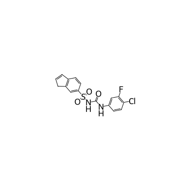 O=C(Nc1ccc(Cl)c(F)c1)NS(=O)(=O)c1ccc2c(c1)CC=C2